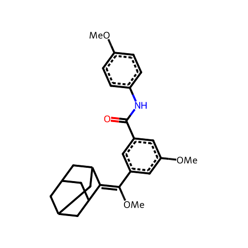 COC(=C1C2CC3CC(C2)CC1C3)c1cc(OC)cc(C(=O)Nc2ccc(OC)cc2)c1